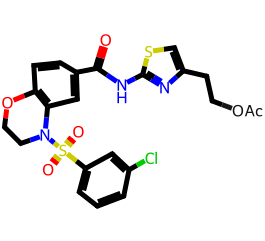 CC(=O)OCCc1csc(NC(=O)c2ccc3c(c2)N(S(=O)(=O)c2cccc(Cl)c2)CCO3)n1